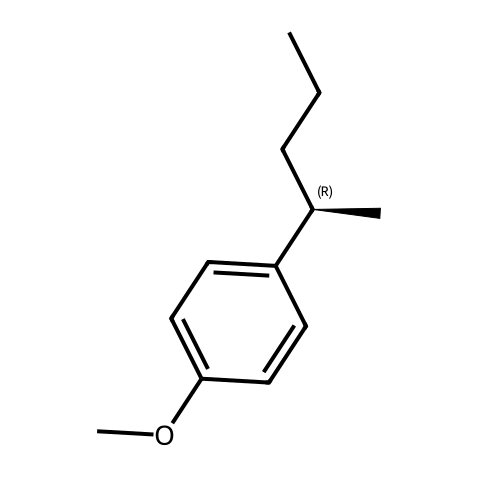 CCC[C@@H](C)c1ccc(OC)cc1